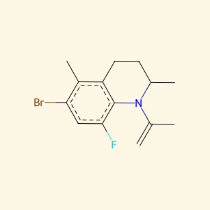 C=C(C)N1c2c(F)cc(Br)c(C)c2CCC1C